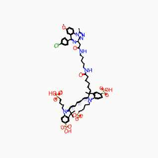 COc1ccc2c(c1)C(c1ccc(Cl)cc1)=NC(CC(=O)NCCCCCNC(=O)CCCCCC1(C)/C(=C/C=C/C=C/C3=[N+](CCCCS(=O)(=O)O)c4ccc(S(=O)(=O)O)cc4C3(C)C)N(CCCCS(=O)(=O)[O-])c3ccc(S(=O)(=O)O)cc31)c1nnc(C)n1-2